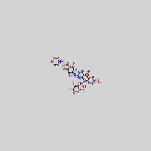 COc1ccc(N(C(=O)Oc2c(C)cccc2C)c2ccnc(Nc3cc(C)c(OCCN4CCOCC4)c(C)c3)n2)c(OC)c1